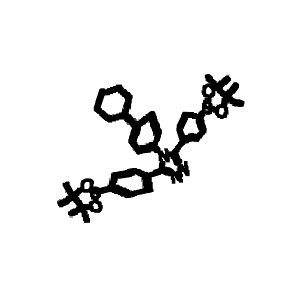 CC1(C)OB(c2ccc(-c3nnc(-c4ccc(B5OC(C)(C)C(C)(C)O5)cc4)n3-c3ccc(C4CCCCC4)cc3)cc2)OC1(C)C